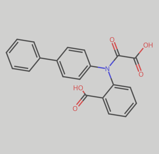 O=C(O)C(=O)N(c1ccc(-c2ccccc2)cc1)c1ccccc1C(=O)O